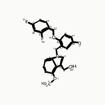 O=C(O)Oc1cccc2c1c(CO)cn2Cc1cc(Cl)ccc1OCc1ccc(F)cc1F